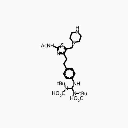 CC(=O)Nc1nc(CCc2ccc(NC(N(C(=O)O)C(C)(C)C)N(C(=O)O)C(C)(C)C)cc2)c(CN2CCNCC2)s1